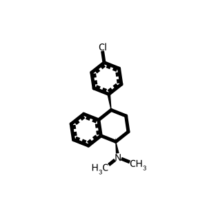 CN(C)[C@@H]1CC[C@H](c2ccc(Cl)cc2)c2ccccc21